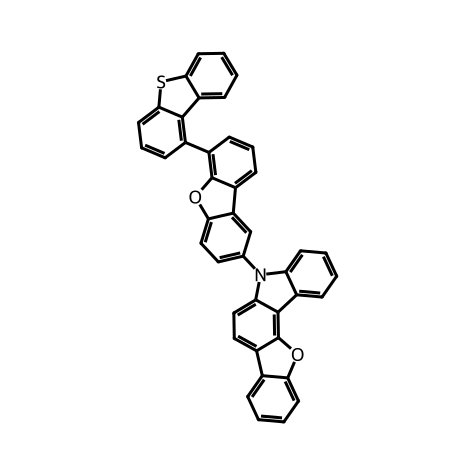 c1ccc2c(c1)oc1c2ccc2c1c1ccccc1n2-c1ccc2oc3c(-c4cccc5sc6ccccc6c45)cccc3c2c1